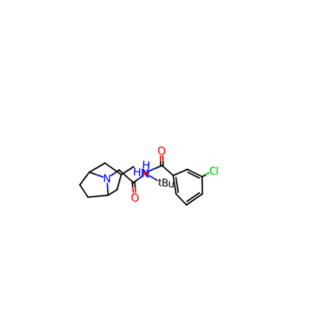 CC(C)(C)NC(=O)CN1C2CCC1CC(CNC(=O)c1cccc(Cl)c1)C2